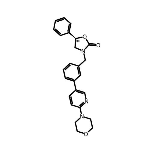 O=C1O[C@H](c2ccccc2)CN1Cc1cccc(-c2ccc(N3CCOCC3)nc2)c1